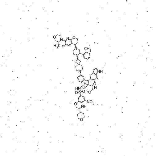 Cc1ccccc1[C@@H]1CN([C@@H]2CCOc3nc(N4CCOC[C@@H]4C)c(F)cc32)CCN1C1CC2(CCN(c3ccc(C(=O)NS(=O)(=O)c4cc5c(c([N+](=O)[O-])c4)N[C@H](C4CCOCC4)CO5)c(N4c5cc6cc[nH]c6nc5O[C@H]5COCC[C@@H]54)c3)CC2)C1